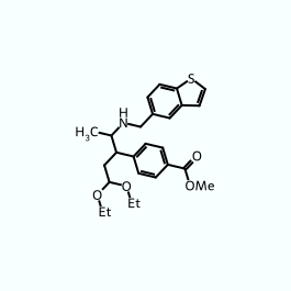 CCOC(CC(c1ccc(C(=O)OC)cc1)C(C)NCc1ccc2sccc2c1)OCC